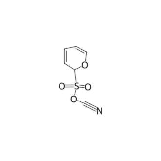 N#COS(=O)(=O)C1C=CC=CO1